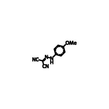 COc1ccc(NN=C(C#N)C#N)cc1